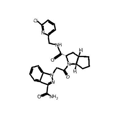 NC(=O)c1nn(CC(=O)N2[C@H](C(=O)NCc3cccc(Cl)n3)C[C@@H]3CCC[C@@H]32)c2ccccc12